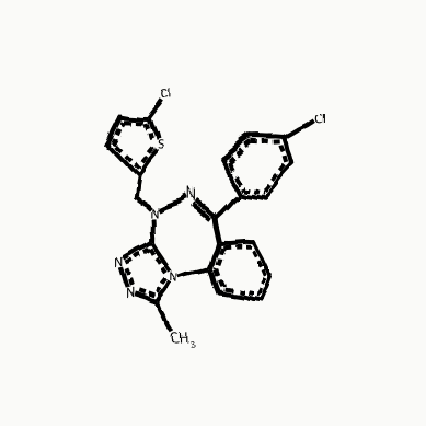 Cc1nnc2n1-c1ccccc1C(c1ccc(Cl)cc1)=NN2Cc1ccc(Cl)s1